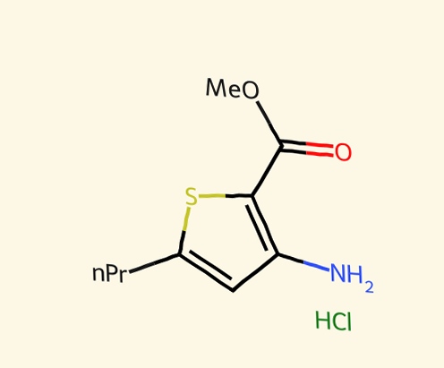 CCCc1cc(N)c(C(=O)OC)s1.Cl